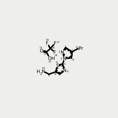 CC(C)c1cnn(-c2ncc(CN)s2)c1.O=C(O)C(F)(F)F